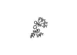 CC(C)CC(CC(C)C)=NN(C(=O)c1cccc(C(=O)N(N=C(CC(C)C)CC(C)C)C(CC(C)C)CC(C)C)c1)C(CC(C)C)CC(C)C